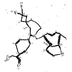 Cc1ccc(CN2CCC3(CC2c2ccc(C(=O)O)cc2)CC(F)(F)C3)c2cc[nH]c12